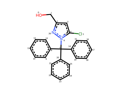 OCc1cc(Cl)n(C(c2ccccc2)(c2ccccc2)c2ccccc2)n1